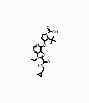 CCn1c(C(=O)NCC2CC2)nc2c(OC3CCN(C(=O)O)C3C(C)(C)C)ncnc21